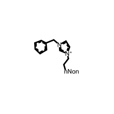 CCCCCCCCCCC[n+]1ccn(Cc2ccccc2)c1